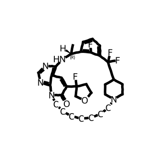 C[C@H]1Nc2ncnc3c2cc(C2(F)CCOC2)c(=O)n3CCCCCCCN2CCC(CC2)C(F)(F)c2cccc1c2F